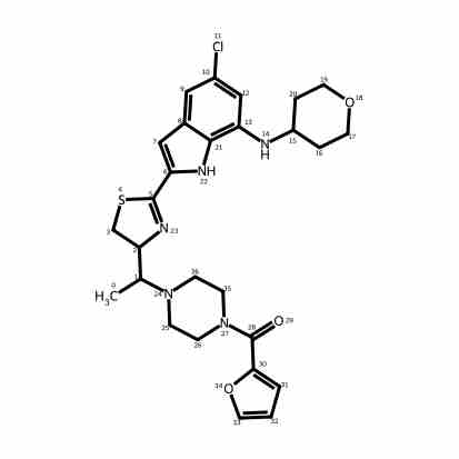 CC(C1CSC(c2cc3cc(Cl)cc(NC4CCOCC4)c3[nH]2)=N1)N1CCN(C(=O)c2ccco2)CC1